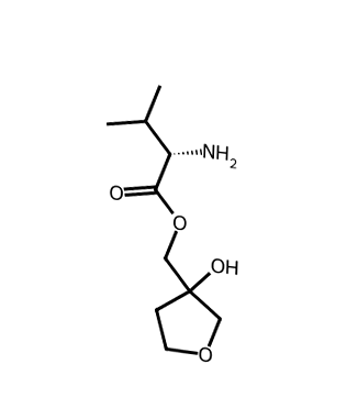 CC(C)[C@H](N)C(=O)OCC1(O)CCOC1